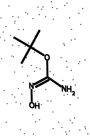 CC(C)(C)OC(N)=NO